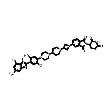 O=C1CCC(N2C(=O)c3ccc(N4CC(N5CCC(N6CCN(c7cc(O)c(-c8nc9cc(C(F)(F)F)cc(Cl)c9[nH]8)cc7Cl)CC6)CC5)C4)cc3C2=O)C(=O)N1